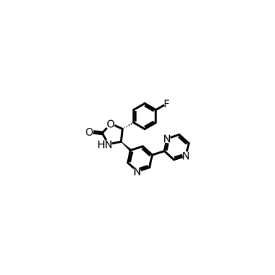 O=C1N[C@H](c2cncc(-c3cnccn3)c2)[C@@H](c2ccc(F)cc2)O1